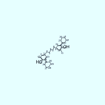 Cc1cc(CCCCCc2cc(C)c(O)c(C3CCCCC3)c2)cc(C2CCCCC2)c1O